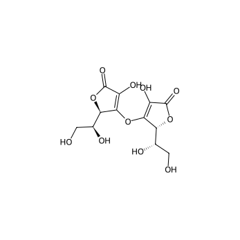 O=C1O[C@H]([C@@H](O)CO)C(OC2=C(O)C(=O)O[C@@H]2[C@@H](O)CO)=C1O